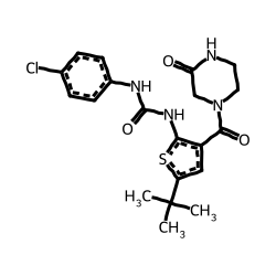 CC(C)(C)c1cc(C(=O)N2CCNC(=O)C2)c(NC(=O)Nc2ccc(Cl)cc2)s1